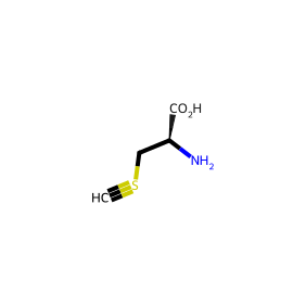 C#SC[C@H](N)C(=O)O